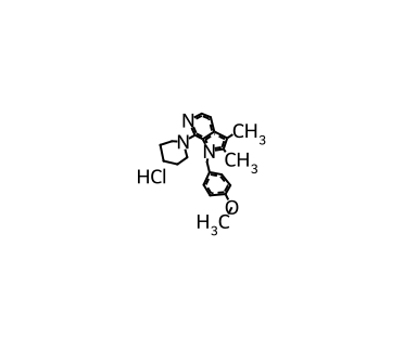 COc1ccc(Cn2c(C)c(C)c3ccnc(N4CCCCC4)c32)cc1.Cl